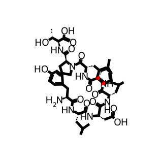 CC(C)C[C@H](NC(=O)[C@H](CC(=O)O)NC(=O)[C@H](CC(C)C)NC(=O)[C@@H](N)Cc1ccc(O)cc1)C(=O)N[C@@H](CC(C)C)C(=O)N[C@@H](Cc1ccccc1)C(=O)N1CCC[C@H]1C(=O)N[C@H](C(=O)O)[C@@H](C)O